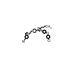 CCCCc1nc(C2CCN(CCn3ccc4cc(C#N)ccc43)CC2)cn1-c1ccc(Oc2ccc(Cl)cc2)cc1